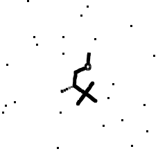 COC[C@@H](C)C(C)(C)C